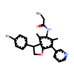 Cc1c(NC(=O)CC(C)(C)C)c(C)c2c(c1-c1cccnc1)OCC2c1ccc(C(C)C)cc1